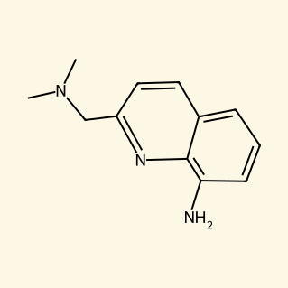 CN(C)Cc1ccc2cccc(N)c2n1